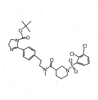 CN(CCc1ccc(C2=NCCN2C(=O)OC(C)(C)C)cc1)C(=O)C1CCCN(S(=O)(=O)c2cccc(Cl)c2Cl)C1